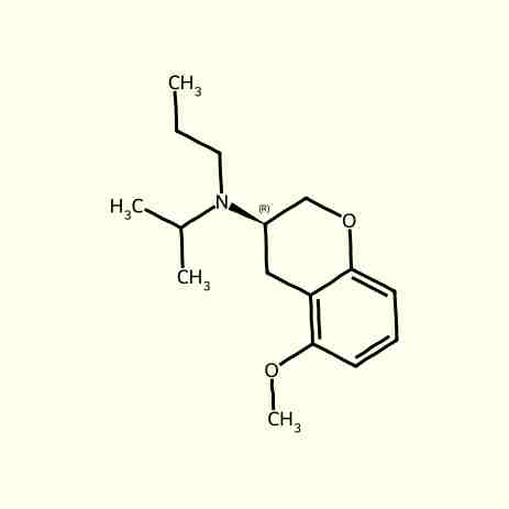 CCCN(C(C)C)[C@H]1COc2cccc(OC)c2C1